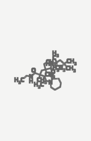 CCNC(=O)C(C)(CC(C)N1CCCCCC1=O)CC(C)(CC)C(=O)NC(C)(C)CC(C)(C)C